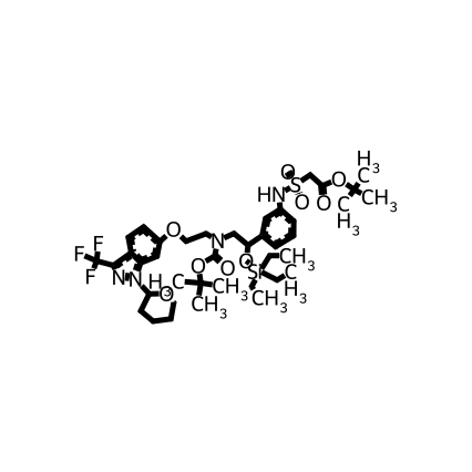 CC[Si](CC)(CC)OC(CN(CCOc1ccc2c(C(F)(F)F)nn(C3CCCCO3)c2c1)C(=O)OC(C)(C)C)c1cccc(NS(=O)(=O)CC(=O)OC(C)(C)C)c1